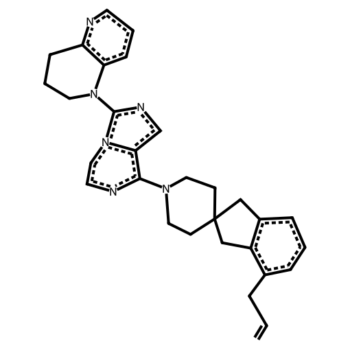 C=CCc1cccc2c1CC1(CCN(c3nccn4c(N5CCCc6ncccc65)ncc34)CC1)C2